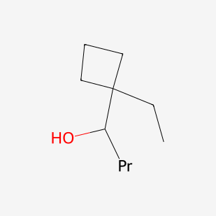 CCC1([CH](O)[Pr])CCC1